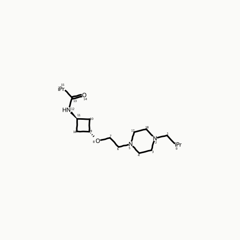 CC(C)CN1CCN(CCO[C@H]2C[C@H](NC(=O)C(C)C)C2)CC1